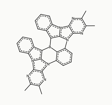 Cc1nc2c(nc1C)n1c3ccccc3c3c1n2-c1cccc2c1B3c1c3ccccc3n3c4nc(C)c(C)nc4n-2c13